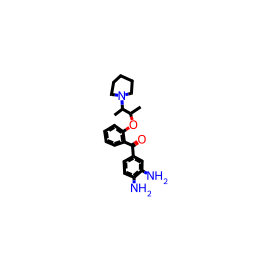 CC(Oc1ccccc1C(=O)c1ccc(N)c(N)c1)C(C)N1CCCCC1